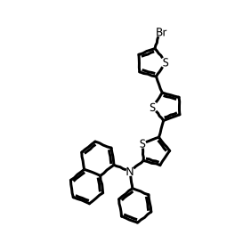 Brc1ccc(-c2ccc(-c3ccc(N(c4ccccc4)c4cccc5ccccc45)s3)s2)s1